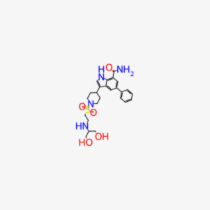 NC(=O)c1cc(-c2ccccc2)cc2c(C3CCN(S(=O)(=O)CCNC(CO)CO)CC3)c[nH]c12